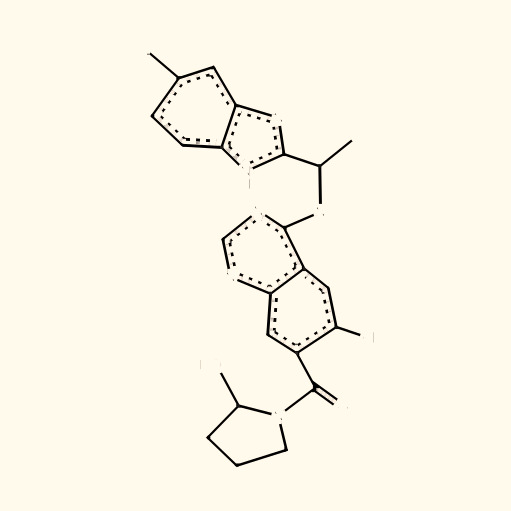 CC(Nc1ncnc2cc(C(=O)N3CCCC3O)c(Cl)cc12)c1nc2cc(Cl)ccc2[nH]1